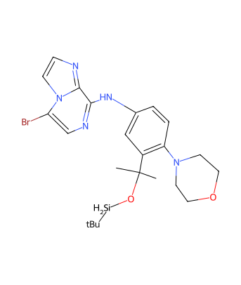 CC(C)(C)[SiH2]OC(C)(C)c1cc(Nc2ncc(Br)n3ccnc23)ccc1N1CCOCC1